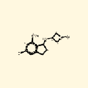 COc1nc(Cl)cc2c1C(NC1CN(C(C)=O)C1)CC2